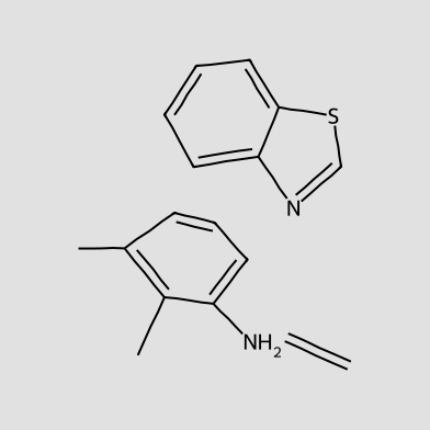 C=C.Cc1cccc(N)c1C.c1ccc2scnc2c1